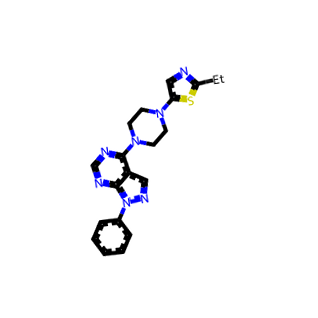 CCc1ncc(N2CCN(c3ncnc4c3cnn4-c3ccccc3)CC2)s1